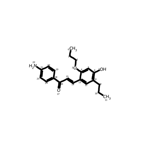 CCCOc1cc(O)c(CCC)cc1/C=C/C(=O)c1ccc(N)cc1